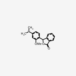 COc1cc(N(C)C)ccc1C1OC(=O)c2ccccc21